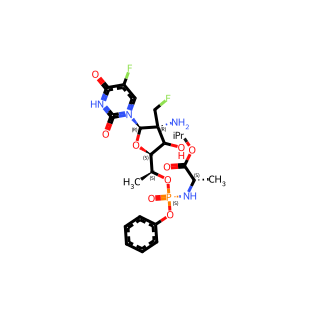 CC(C)OC(=O)[C@H](C)N[P@@](=O)(Oc1ccccc1)O[C@@H](C)[C@H]1O[C@@H](n2cc(F)c(=O)[nH]c2=O)[C@@](N)(CF)C1O